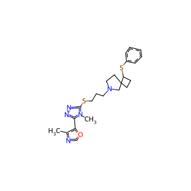 Cc1ncoc1-c1nnc(SCCCN2CCC3(CCC3Sc3ccccc3)C2)n1C